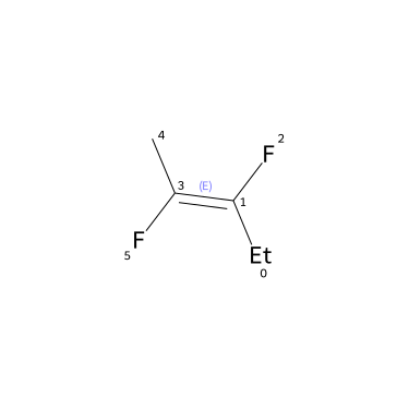 [CH2]C/C(F)=C(/C)F